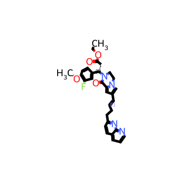 CCOC(=O)C[C@@H](c1ccc(OC)c(F)c1)N1CCn2cc(/C=C/CCc3ccc4cccnc4n3)cc2C1=O